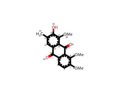 COc1ccc2c(c1OC)C(=O)c1c(cc(C)c(O)c1OC)C2=O